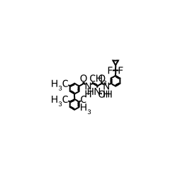 C/C(NC(=O)c1cc(C)cc(-c2c(C)cccc2C)c1)=C(/NO)C(=O)Nc1cccc(C(F)(F)C2CC2)c1